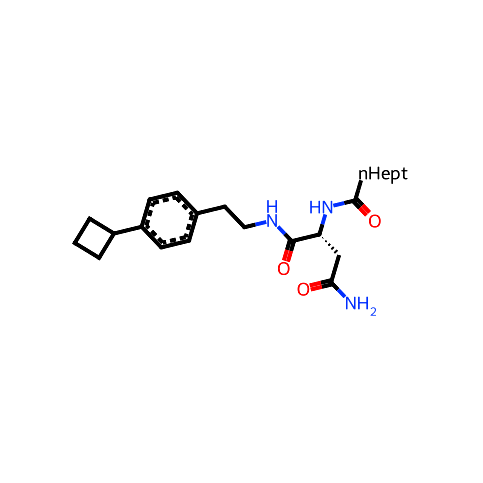 CCCCCCCC(=O)N[C@H](CC(N)=O)C(=O)NCCc1ccc(C2CCC2)cc1